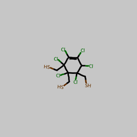 SCC1(Cl)C(Cl)=C(Cl)C(Cl)C(Cl)(CS)C1(Cl)CS